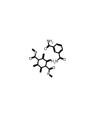 C=NC(=O)C1C(=C)C(=C)C(C(=O)N=C)C(=C)C1=C.NC(=O)c1cccc(C(N)=O)c1